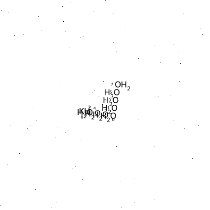 O.O.O.O.O.O.O.O.[KH]